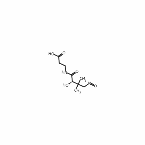 CC(C)(CN=O)[C@@H](O)C(=O)NCCC(=O)O